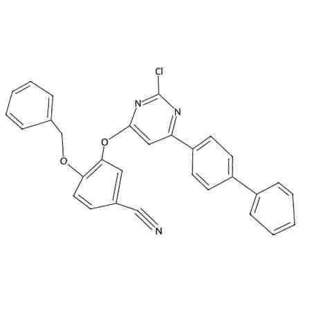 N#Cc1ccc(OCc2ccccc2)c(Oc2cc(-c3ccc(-c4ccccc4)cc3)nc(Cl)n2)c1